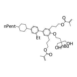 C=C(C)C(=O)OCCCc1cc(-c2ccc(C3CCC(CCCCC)CC3)cc2CC)cc(CCCOC(=O)C(=C)C)c1OCCC(CO)(CO)CCCC